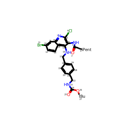 CCCC(C)C(=O)Nc1c(Cl)nc2cc(Br)ccc2c1NCc1ccc(CNC(=O)OC(C)(C)C)cc1